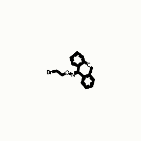 BrCCON=C1c2ccccc2CCc2ccccc21